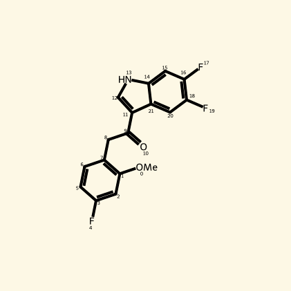 COc1cc(F)ccc1CC(=O)c1c[nH]c2cc(F)c(F)cc12